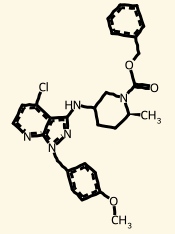 COc1ccc(Cn2nc(NC3CC[C@H](C)N(C(=O)OCc4ccccc4)C3)c3c(Cl)ccnc32)cc1